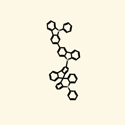 c1ccc(N2c3ccccc3C3(c4ccccc4-c4cc(-n5c6ccccc6c6cc(-c7ccc8c9ccccc9n(-c9ccccc9)c8c7)ccc65)ccc43)c3ccccc32)cc1